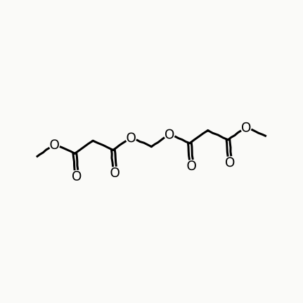 COC(=O)CC(=O)OCOC(=O)CC(=O)OC